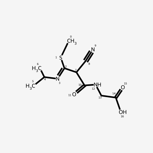 CS/C(=N\C(C)C)C(C#N)C(=O)NCC(=O)O